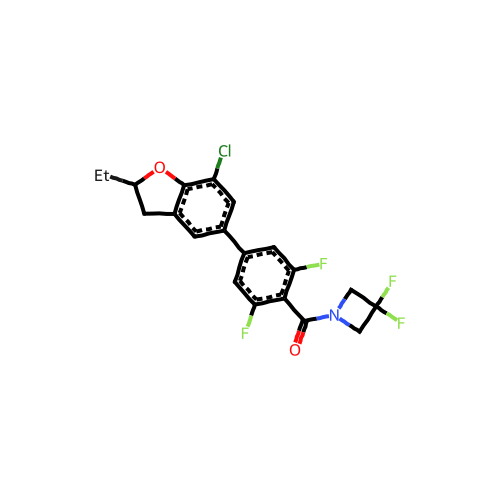 CCC1Cc2cc(-c3cc(F)c(C(=O)N4CC(F)(F)C4)c(F)c3)cc(Cl)c2O1